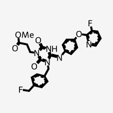 COC(=O)CCn1c(=O)[nH]/c(=N\c2ccc(Oc3ncccc3F)cc2)n(Cc2ccc(CF)cc2)c1=O